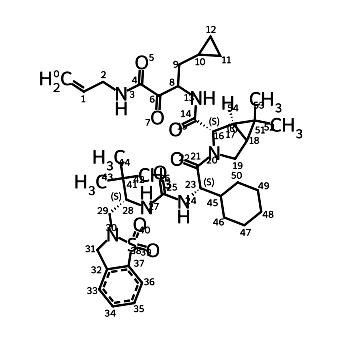 C=CCNC(=O)C(=O)C(CC1CC1)NC(=O)[C@@H]1[C@@H]2C(CN1C(=O)[C@@H](NC(=O)N[C@H](CN1Cc3ccccc3S1(=O)=O)C(C)(C)C)C1CCCCC1)C2(C)C